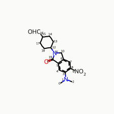 CN(C)c1cc2c(cc1[N+](=O)[O-])CN(C1CCC(C=O)CC1)C2=O